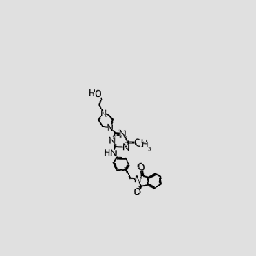 Cc1nc(Nc2ccc(CN3C(=O)c4ccccc4C3=O)cc2)nc(N2CCN(CCO)CC2)n1